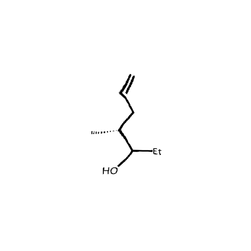 C=CC[C@@H](C)C(O)CC